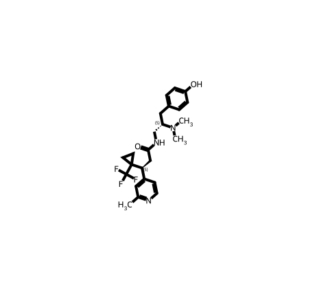 Cc1cc([C@H](CC(=O)NC[C@H](Cc2ccc(O)cc2)N(C)C)C2(C(F)(F)F)CC2)ccn1